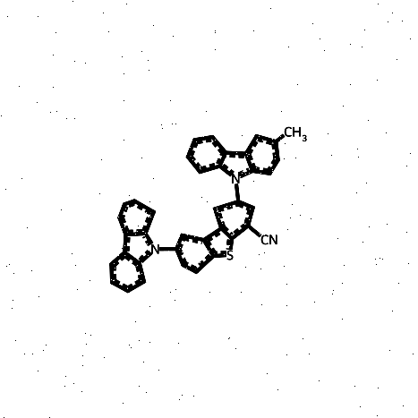 Cc1ccc2c(c1)c1ccccc1n2-c1cc(C#N)c2sc3ccc(-n4c5ccccc5c5ccccc54)cc3c2c1